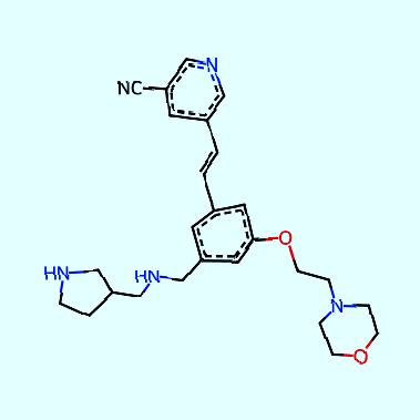 N#Cc1cncc(C=Cc2cc(CNCC3CCNC3)cc(OCCN3CCOCC3)c2)c1